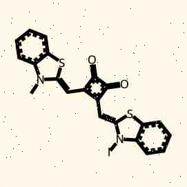 CN1/C(=C/c2c(/C=C3\Sc4ccccc4N3I)c(=O)c2=O)Sc2ccccc21